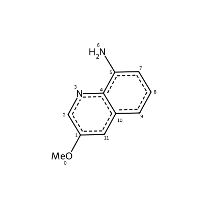 COc1cnc2c(N)cccc2c1